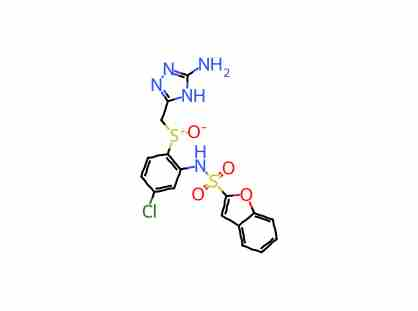 Nc1nnc(C[S+]([O-])c2ccc(Cl)cc2NS(=O)(=O)c2cc3ccccc3o2)[nH]1